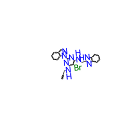 C#CCNc1nc(-n2ncc3ccccc32)nc(NCc2nc3ccccc3[nH]2)c1Br